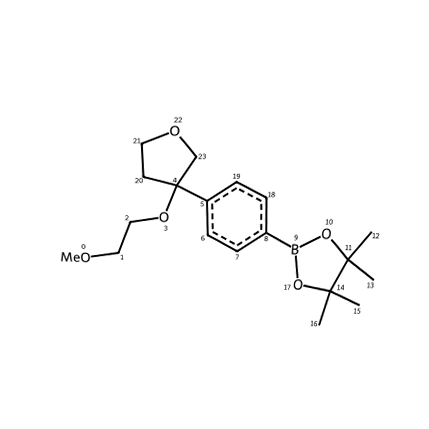 COCCOC1(c2ccc(B3OC(C)(C)C(C)(C)O3)cc2)CCOC1